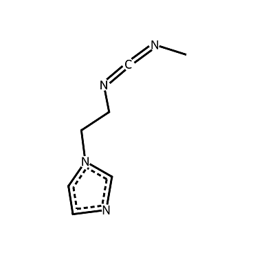 CN=C=NCCn1ccnc1